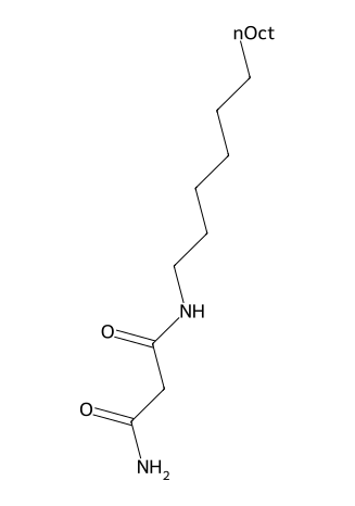 CCCCCCCCCCCCCCNC(=O)CC(N)=O